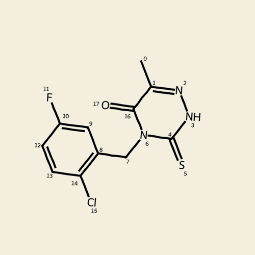 Cc1n[nH]c(=S)n(Cc2cc(F)ccc2Cl)c1=O